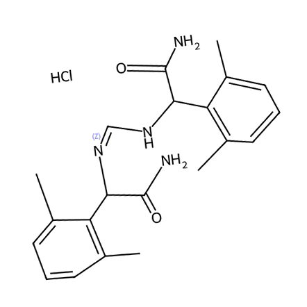 Cc1cccc(C)c1C(/N=C\NC(C(N)=O)c1c(C)cccc1C)C(N)=O.Cl